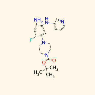 CC(C)(C)OC(=O)N1CCN(c2cc(Nc3cccnc3)c(N)cc2F)CC1